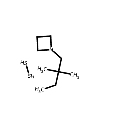 CCC(C)(C)CN1CCC1.SS